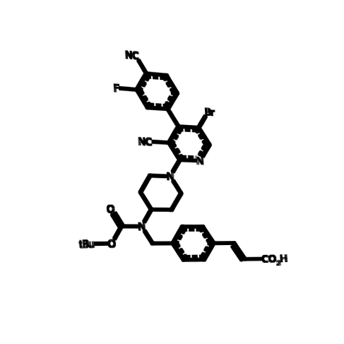 CC(C)(C)OC(=O)N(Cc1ccc(C=CC(=O)O)cc1)C1CCN(c2ncc(Br)c(-c3ccc(C#N)c(F)c3)c2C#N)CC1